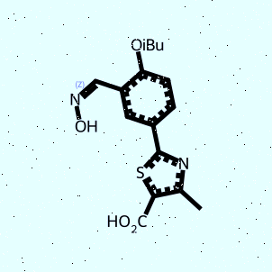 Cc1nc(-c2ccc(OCC(C)C)c(/C=N\O)c2)sc1C(=O)O